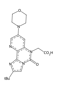 CC(C)(C)c1cn2c(=O)n(CC(=O)O)c3cc(N4CCOCC4)cnc3c2n1